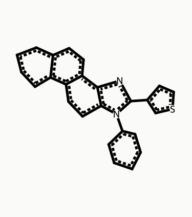 c1ccc(-n2c(-c3ccsc3)nc3c4ccc5ccccc5c4ccc32)cc1